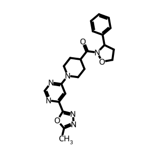 Cc1nnc(-c2cc(N3CCC(C(=O)N4OCCC4c4ccccc4)CC3)ncn2)o1